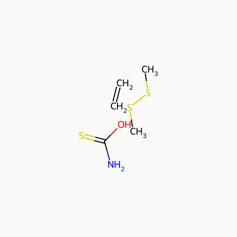 C=C.CSSC.NC(O)=S